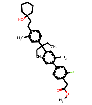 CCC(CC)(c1ccc(CCC2(O)CCCCC2)c(C)c1)c1ccc(-c2ccc(CC(=O)OC)c(F)c2)c(C)c1